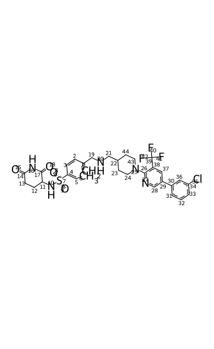 C=C(/C=C\C(=C/C)S(=O)(=O)NC1CCC(=O)NC1=O)CNCC1CCN(c2ncc(-c3cccc(Cl)c3)cc2C(F)(F)F)CC1